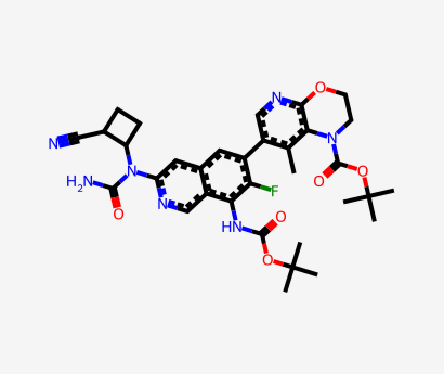 Cc1c(-c2cc3cc(N(C(N)=O)C4CCC4C#N)ncc3c(NC(=O)OC(C)(C)C)c2F)cnc2c1N(C(=O)OC(C)(C)C)CCO2